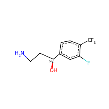 NCC[C@H](O)c1ccc(C(F)(F)F)c(F)c1